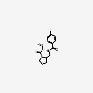 CC(C)(C)OC(=O)N1CCCC1CNC(=O)c1ccc(I)cc1